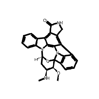 CN[C@H]1C[C@@H]2OC3(c4cccc5c6c7c(c8c9ccccc9n2c8c6n3c45)C(=O)NC7)[C@H]1OC